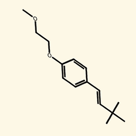 COCCOc1ccc(/C=C/C(C)(C)C)cc1